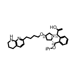 C=C(O)[C@H](c1ccccc1[C@@H](C)OC(C)C)N1CC[C@@H](OCCCCc2ccc3c(n2)NCCC3)C1